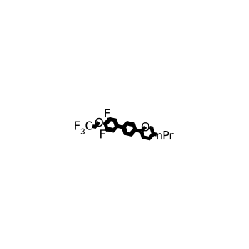 CCCC1CCC(c2ccc(-c3cc(F)c(OCC(F)(F)F)c(F)c3)cc2)OC1